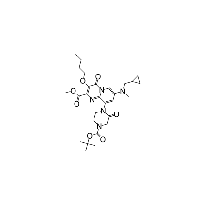 CCCCOc1c(C(=O)OC)nc2c(N3CCN(C(=O)OC(C)(C)C)CC3=O)cc(N(C)CC3CC3)cn2c1=O